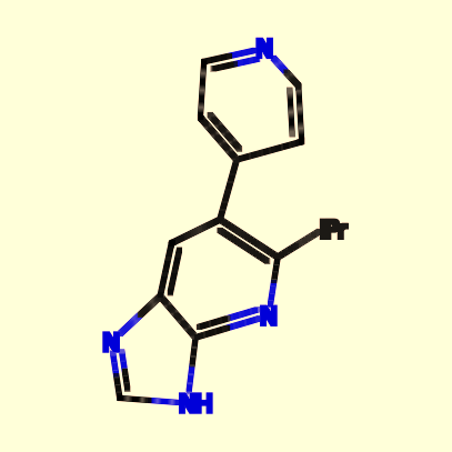 CC(C)c1nc2[nH]cnc2cc1-c1ccncc1